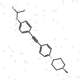 C[C@H]1CC[C@H](c2ccc(C#Cc3ccc(OC(F)F)cc3)cc2)CC1